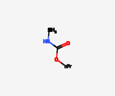 CCCOC(=O)N[SiH3]